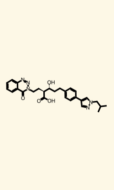 CC(C)Cn1cc(-c2ccc(CC[C@@H](O)[C@H](CCn3nnc4ccccc4c3=O)C(=O)O)cc2)cn1